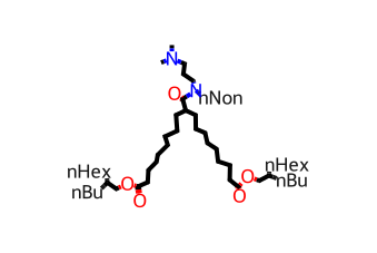 CCCCCCCCCN(CCCN(C)C)C(=O)C(CCCCCCCCC(=O)OCC(CCCC)CCCCCC)CCCCCCCCC(=O)OCC(CCCC)CCCCCC